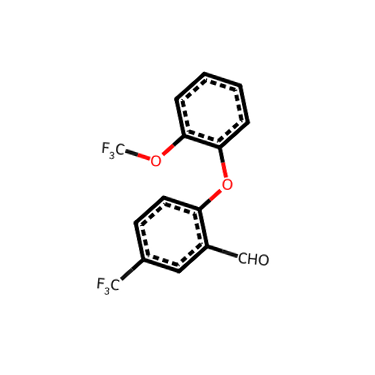 O=Cc1cc(C(F)(F)F)ccc1Oc1ccccc1OC(F)(F)F